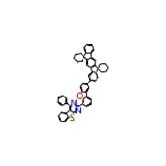 c1ccc(-c2nc(-c3cccc4c3oc3ccc(-c5ccc6c(c5)-c5cc7c(cc5C65CCCCC5)-c5ccccc5C75CCCCC5)cc34)nc3sc4ccccc4c23)cc1